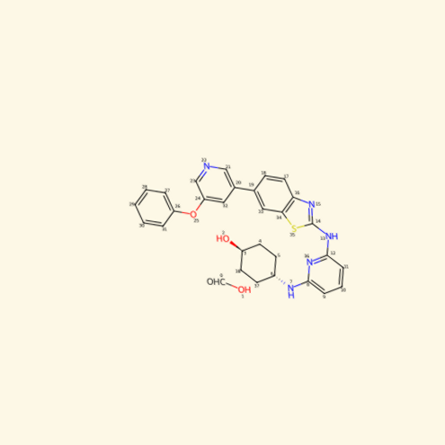 O=CO.O[C@H]1CC[C@H](Nc2cccc(Nc3nc4ccc(-c5cncc(Oc6ccccc6)c5)cc4s3)n2)CC1